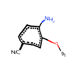 CC(C)Oc1cc(C#N)ccc1N